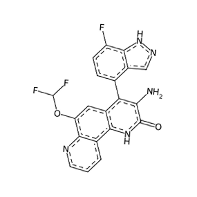 Nc1c(-c2ccc(F)c3[nH]ncc23)c2cc(OC(F)F)c3ncccc3c2[nH]c1=O